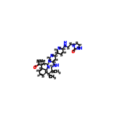 CNC(=O)c1ccnc2c(C(C)[C@H](C)CNc3cc(-c4ccc(NCCN5CCNC5=O)nc4)ncn3)cccc12